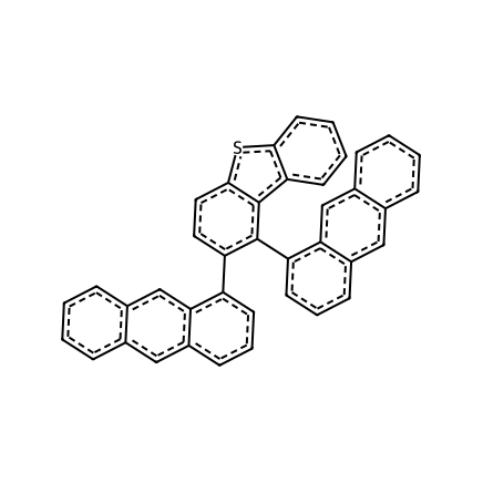 c1ccc2cc3c(-c4ccc5sc6ccccc6c5c4-c4cccc5cc6ccccc6cc45)cccc3cc2c1